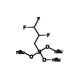 CCCCO[Si](CC(F)C(F)F)(OCCCC)OCCCC